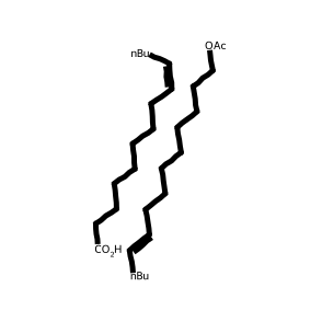 CCCC/C=C/CCCCCCCCOC(C)=O.CCCC/C=C\CCCCCCCC(=O)O